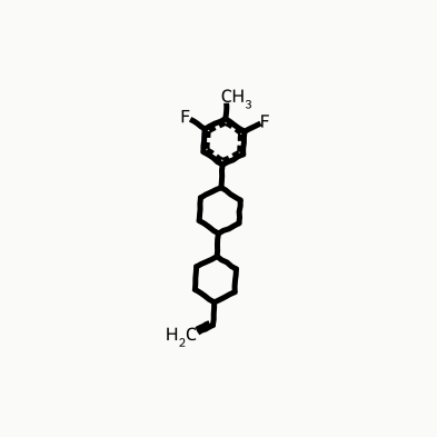 C=CC1CCC(C2CCC(c3cc(F)c(C)c(F)c3)CC2)CC1